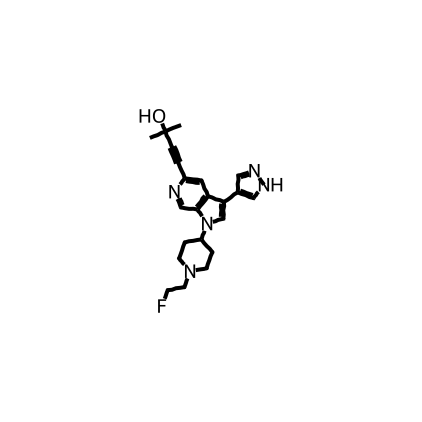 CC(C)(O)C#Cc1cc2c(-c3cn[nH]c3)cn(C3CCN(CCF)CC3)c2cn1